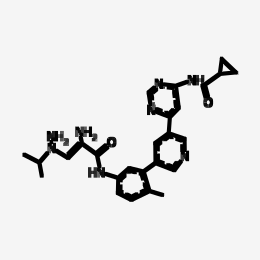 Cc1ccc(NC(=O)/C(N)=C/N(N)C(C)C)cc1-c1cncc(-c2cc(NC(=O)C3CC3)ncn2)c1